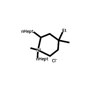 CCCCCCCC1CC(C)(CC)CC[N+]1(C)CCCCCCC.[Cl-]